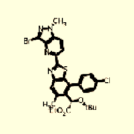 CCOC(=O)[C@@H](OC(C)(C)C)c1c(C)cc2nc(-c3ccc4c(n3)c(Br)nn4C)sc2c1-c1ccc(Cl)cc1